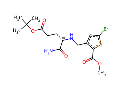 COC(=O)c1sc(Br)cc1CN[C@@H](CCC(=O)OC(C)(C)C)C(N)=O